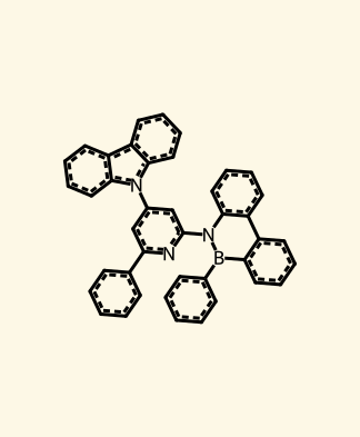 c1ccc(B2c3ccccc3-c3ccccc3N2c2cc(-n3c4ccccc4c4ccccc43)cc(-c3ccccc3)n2)cc1